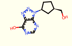 OC[C@@H]1CC[C@H](n2nnc3c(O)ncnc32)C1